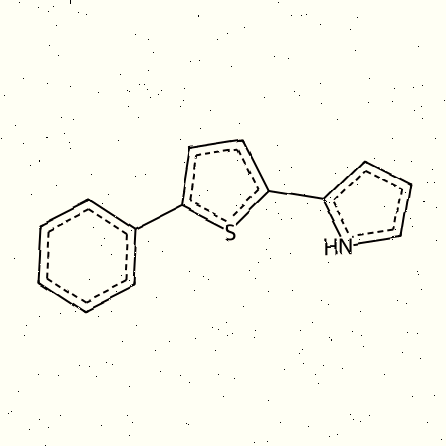 c1ccc(-c2ccc(-c3ccc[nH]3)s2)cc1